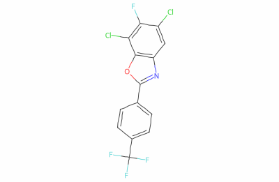 Fc1c(Cl)cc2nc(-c3ccc(C(F)(F)F)cc3)oc2c1Cl